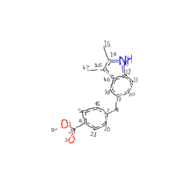 COC(=O)c1ccc(Cc2ccc3[nH]c(C)c(C)c3c2)cc1